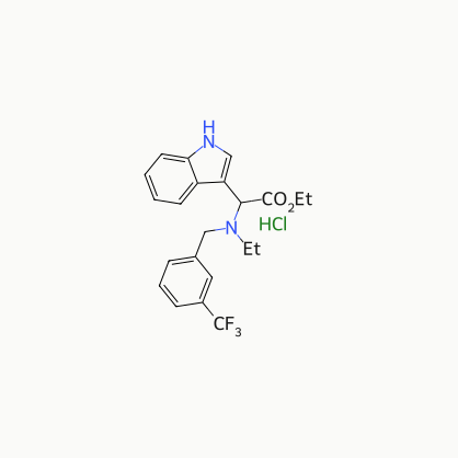 CCOC(=O)C(c1c[nH]c2ccccc12)N(CC)Cc1cccc(C(F)(F)F)c1.Cl